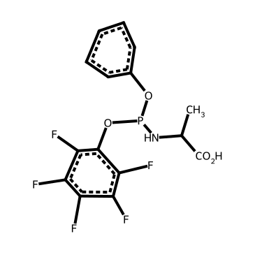 CC(NP(Oc1ccccc1)Oc1c(F)c(F)c(F)c(F)c1F)C(=O)O